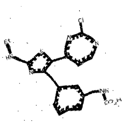 CCNc1nc(-c2cccc(NC(=O)O)c2)c(-c2ccnc(Cl)n2)s1